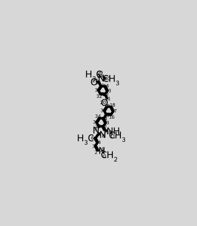 C=N/C=C\C=C(/C)c1nc(NC)c2cc(-c3cccc(OCc4ccc(C(=O)N(C)C)cc4)c3)ccc2n1